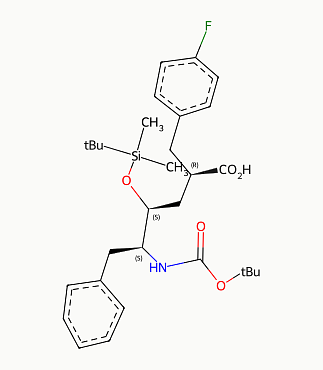 CC(C)(C)OC(=O)N[C@@H](Cc1ccccc1)[C@H](C[C@@H](Cc1ccc(F)cc1)C(=O)O)O[Si](C)(C)C(C)(C)C